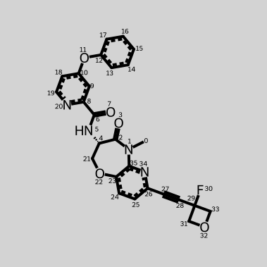 CN1C(=O)[C@@H](NC(=O)c2cc(Oc3ccccc3)ccn2)COc2ccc(C#CC3(F)COC3)nc21